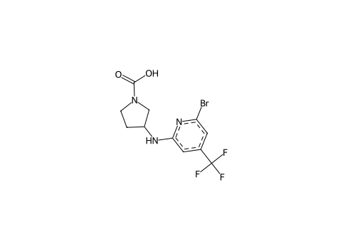 O=C(O)N1CCC(Nc2cc(C(F)(F)F)cc(Br)n2)C1